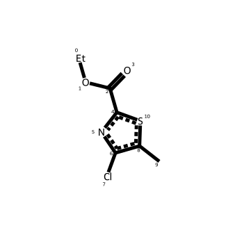 CCOC(=O)c1nc(Cl)c(C)s1